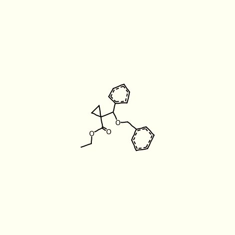 CCOC(=O)C1(C(OCc2ccccc2)c2ccccc2)CC1